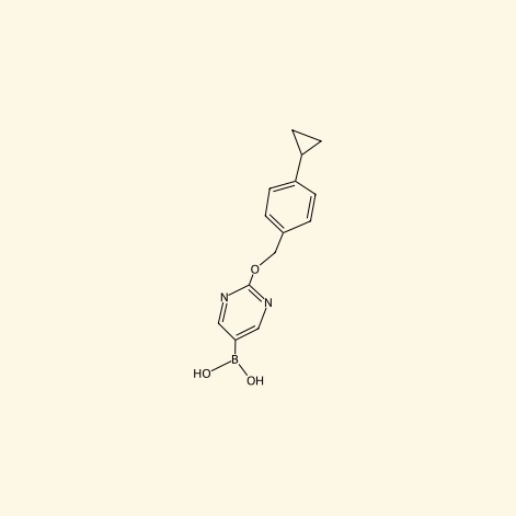 OB(O)c1cnc(OCc2ccc(C3CC3)cc2)nc1